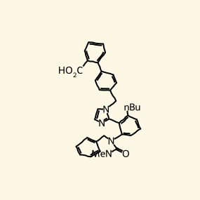 CCCCc1cccc(N(Cc2ccccc2)C(=O)NC)c1-c1nccn1Cc1ccc(-c2ccccc2C(=O)O)cc1